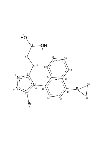 OC(O)CSc1nnc(Br)n1-c1ccc(C2CC2)c2ccccc12